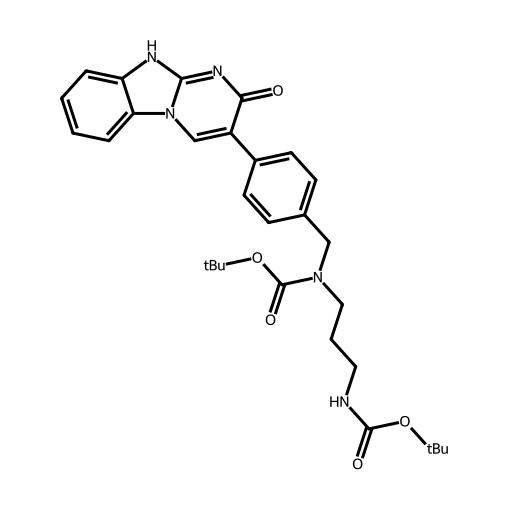 CC(C)(C)OC(=O)NCCCN(Cc1ccc(-c2cn3c(nc2=O)[nH]c2ccccc23)cc1)C(=O)OC(C)(C)C